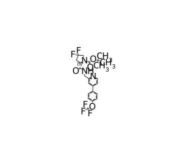 CC(C)(C)OC(=O)N1CC(F)(F)C[C@H]1C(=O)NCc1cc(-c2ccc(OC(F)(F)F)cc2)ccn1